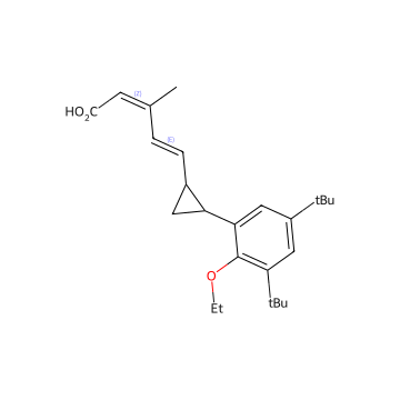 CCOc1c(C2CC2/C=C/C(C)=C\C(=O)O)cc(C(C)(C)C)cc1C(C)(C)C